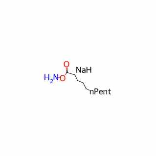 CCCCCCCCCC(=O)ON.[NaH]